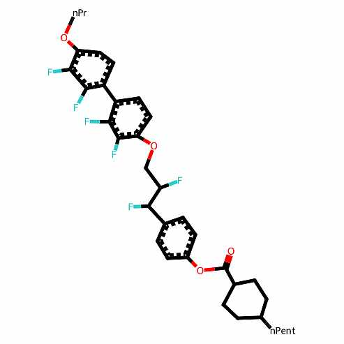 CCCCCC1CCC(C(=O)Oc2ccc(C(F)C(F)COc3ccc(-c4ccc(OCCC)c(F)c4F)c(F)c3F)cc2)CC1